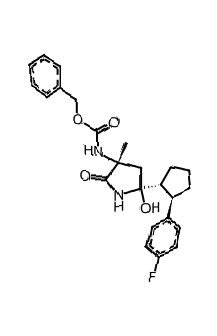 C[C@@]1(NC(=O)OCc2ccccc2)CC(O)([C@@H]2CCC[C@H]2c2ccc(F)cc2)NC1=O